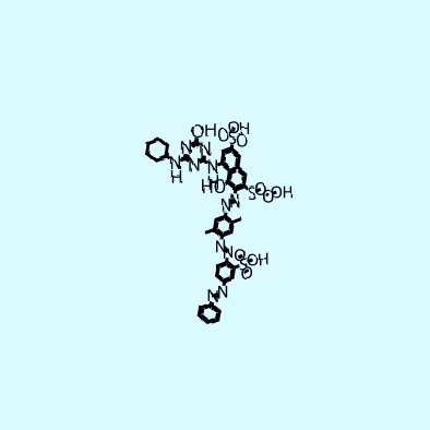 Cc1cc(N=Nc2c(SOOO)cc3cc(S(=O)(=O)O)cc(Nc4nc(O)nc(NC5CCCCC5)n4)c3c2O)c(C)cc1N=Nc1ccc(N=Nc2ccccc2)cc1S(=O)(=O)O